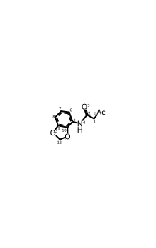 CC(=O)CC(=O)Nc1cccc2c1OCO2